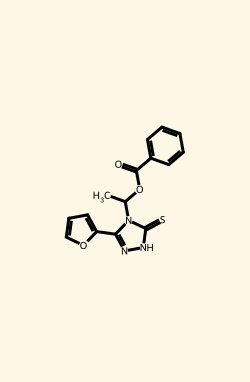 CC(OC(=O)c1ccccc1)n1c(-c2ccco2)n[nH]c1=S